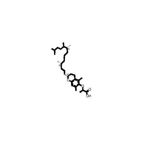 Cc1cc2c(c(C)c1OC(C)C(=O)O)CC[C@@H](CCC[C@H](C)CCC[C@@H](C)C(C)CCC(C)C)O2